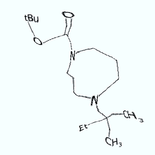 CCC(C)(C)N1CCCN(C(=O)OC(C)(C)C)CC1